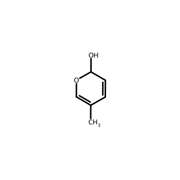 CC1=COC(O)C=C1